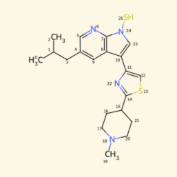 CC(C)Cc1cnc2c(c1)c(-c1csc(C3CCN(C)CC3)n1)cn2S